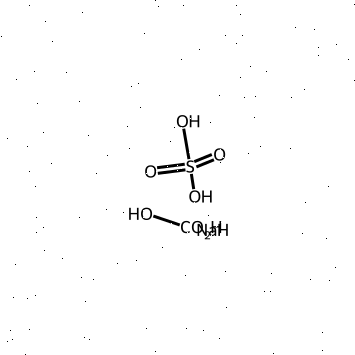 O=C(O)O.O=S(=O)(O)O.[NaH]